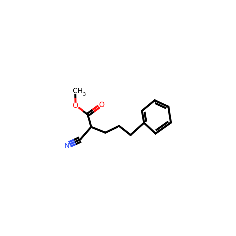 COC(=O)C(C#N)CCCc1ccccc1